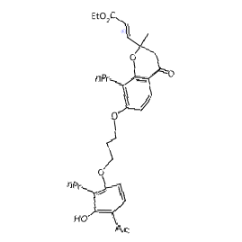 CCCc1c(OCCCOc2ccc3c(c2CCC)OC(C)(/C=C/C(=O)OCC)CC3=O)ccc(C(C)=O)c1O